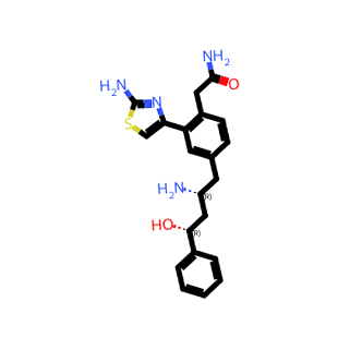 NC(=O)Cc1ccc(C[C@@H](N)C[C@@H](O)c2ccccc2)cc1-c1csc(N)n1